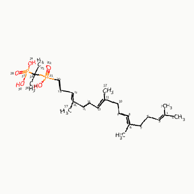 CC(C)=CCCC(C)=CCCC(C)=CCCC(C)=CCCP(=O)(O)C(C)(C)P(=O)(O)O